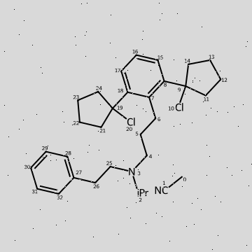 CC#N.CC(C)N(CCCc1c(C2(Cl)CCCC2)cccc1C1(Cl)CCCC1)CCc1ccccc1